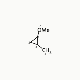 COC1CC1C